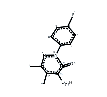 Cc1nn(-c2ccc(F)cc2)c(=O)c(C(=O)O)c1C